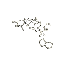 COC(=O)[C@H](C)N[P@](=O)(OC[C@H]1O[C@@H](n2ccc(=O)[nH]c2=S)[C@](C)(O)C1O)Oc1cccc2ccccc12